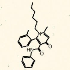 CCCCCCn1c(C)cc(=O)c(C(=O)Nc2ccccc2)c1-c1ccccc1C